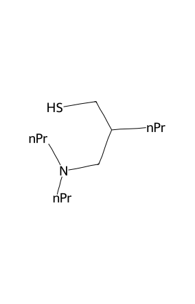 CCCC(CS)CN(CCC)CCC